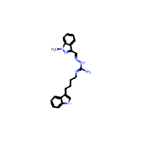 Cn1nc(C=NNC(N)=NCCCCc2c[nH]c3ccccc23)c2ccccc21